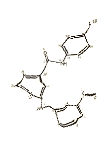 CSc1cccc(Nc2cc(C(=O)Nc3ccc(F)cc3)ncn2)c1